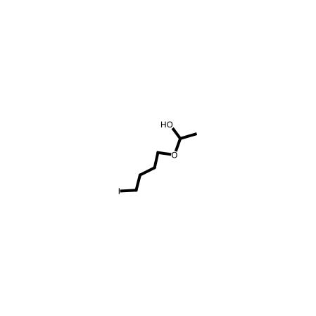 C[C](O)OCCCCI